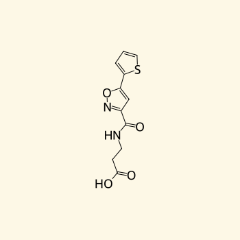 O=C(O)CCNC(=O)c1cc(-c2cccs2)on1